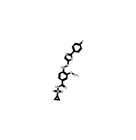 COc1cc(C(=O)NS(=O)(=O)C2CC2)ccc1NSc1cnc(-c2ccc(F)cc2)s1